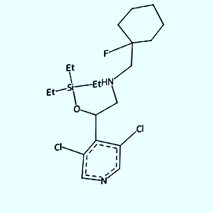 CC[Si](CC)(CC)OC(CNCC1(F)CCCCC1)c1c(Cl)cncc1Cl